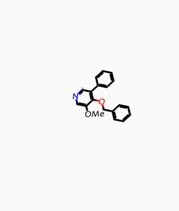 COc1cn[c]c(-c2ccccc2)c1OCc1ccccc1